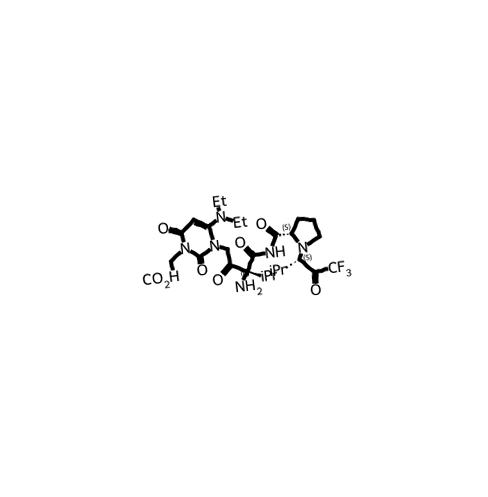 CCN(CC)c1cc(=O)n(CC(=O)O)c(=O)n1CC(=O)[C@@](N)(C(=O)NC(=O)[C@@H]1CCCN1[C@H](C(=O)C(F)(F)F)C(C)C)C(C)C